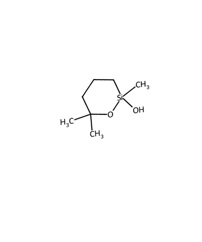 CC1(C)CCC[Si](C)(O)O1